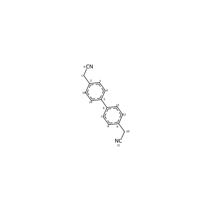 N#CCc1ccc(-c2ccc(CC#N)cc2)cc1